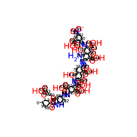 Cc1ccc(S(=O)(=O)Nc2cc(C)c(N=Nc3cc(S(=O)(=O)O)c(/N=N/c4c(S(=O)(=O)O)cc5c(S(=O)(=O)O)c(/N=N/c6cc(S(=O)(=O)O)c7cc(S(=O)(=O)O)c(N=Nc8ccc([N+](=O)[O-])cc8S(=O)(=O)O)c(O)c7c6N)ccc5c4O)cc3S(=O)(=O)O)cc2OCCCS(=O)(=O)O)cc1